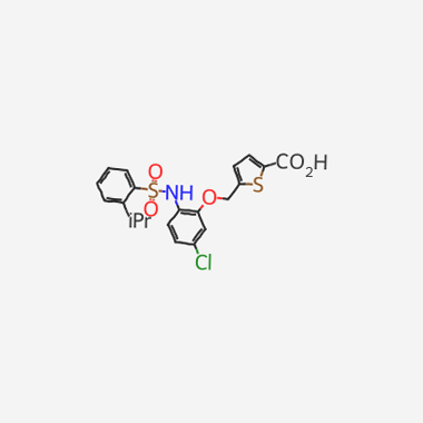 CC(C)c1ccccc1S(=O)(=O)Nc1ccc(Cl)cc1OCc1ccc(C(=O)O)s1